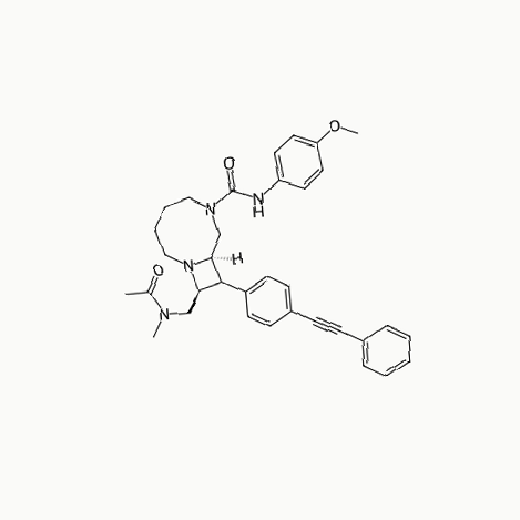 COc1ccc(NC(=O)N2CCCCN3[C@H](CN(C)C(C)=O)C(c4ccc(C#Cc5ccccc5)cc4)[C@@H]3C2)cc1